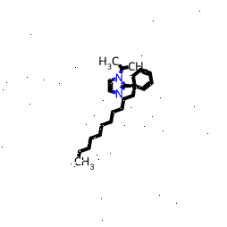 CCCCCCCCCCCC1(c2nccn2C(C)C)C=CC=CC1